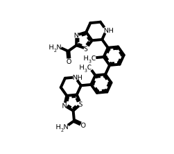 Cc1c(-c2cccc(C3NCCc4nc(C(N)=O)sc43)c2C)cccc1C1NCCc2nc(C(N)=O)sc21